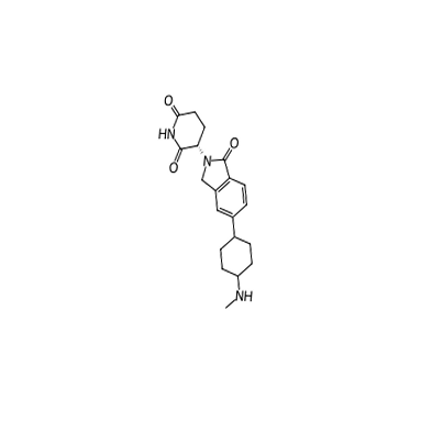 CNC1CCC(c2ccc3c(c2)CN([C@H]2CCC(=O)NC2=O)C3=O)CC1